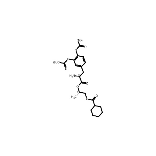 CC(C)COC(=O)Oc1ccc(C[C@H](N)C(=O)O[C@@H](C)COC(=O)C2CCCCC2)cc1OC(=O)OCC(C)C